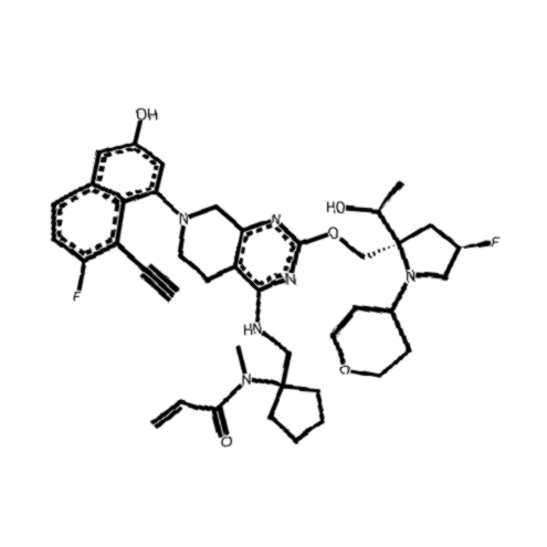 C#Cc1c(F)ccc2cc(O)cc(N3CCc4c(nc(OC[C@]5([C@H](C)O)C[C@@H](F)CN5C5CCOCC5)nc4NCC4(N(C)C(=O)C=C)CCCC4)C3)c12